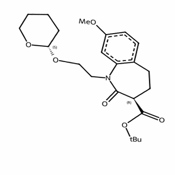 COc1ccc2c(c1)N(CCO[C@H]1CCCCO1)C(=O)[C@H](C(=O)OC(C)(C)C)CC2